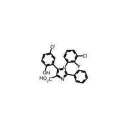 O=C(O)c1nc(-c2ccccc2)n(-c2cccc(Cl)c2F)c1-c1cc(Cl)ccc1O